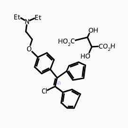 CCN(CC)CCOc1ccc(/C(=C(\Cl)c2ccccc2)c2ccccc2)cc1.O=C(O)C(O)C(O)C(=O)O